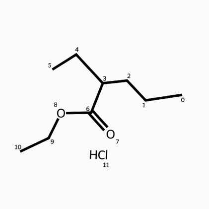 CCCC(CC)C(=O)OCC.Cl